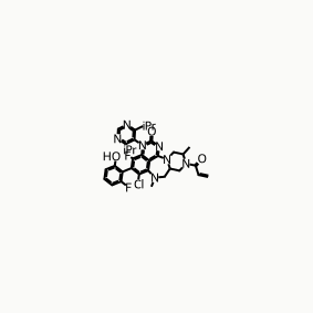 C=CC(=O)N1CC2CN(C)c3c(Cl)c(-c4c(O)cccc4F)c(F)c4c3c(nc(=O)n4-c3c(C(C)C)ncnc3C(C)C)N2CC1C